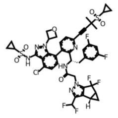 CC(C)(C#Cc1ccc(-c2ccc(Cl)c3c(NS(=O)(=O)C4CC4)nn(C4COC4)c23)c([C@H](Cc2cc(F)cc(F)c2)NC(=O)Cn2nc(C(F)F)c3c2C(F)(F)C2C[C@H]32)n1)S(=O)(=O)C1CC1